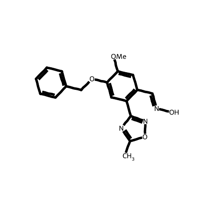 COc1cc(/C=N/O)c(-c2noc(C)n2)cc1OCc1ccccc1